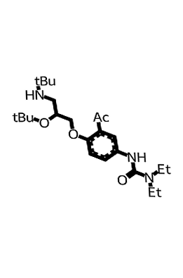 CCN(CC)C(=O)Nc1ccc(OCC(CNC(C)(C)C)OC(C)(C)C)c(C(C)=O)c1